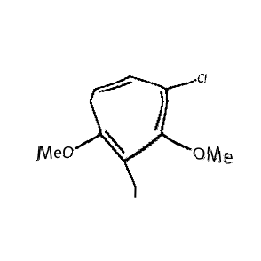 COc1ccc(Cl)c(OC)c1C